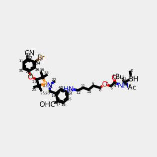 CBC(NC(=O)COCCCCCNc1ccc(C=O)c(CN(C)P2C(C)(C)C(Oc3ccc(C#N)c(Br)c3)C2(C)C)c1)(C(C)=O)C(C)(C)C